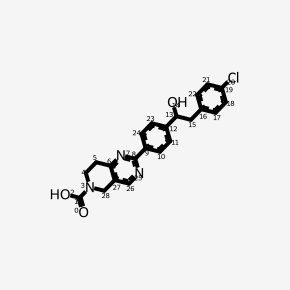 O=C(O)N1CCc2nc(-c3ccc(C(O)Cc4ccc(Cl)cc4)cc3)ncc2C1